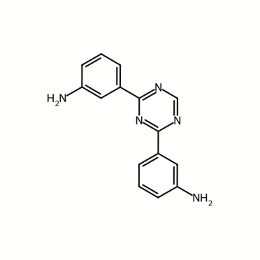 Nc1cccc(-c2ncnc(-c3cccc(N)c3)n2)c1